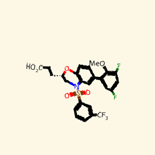 COc1c(F)cc(F)cc1-c1ccc2c(c1)N(S(=O)(=O)c1cccc(C(F)(F)F)c1)C[C@H](CCC(=O)O)O2